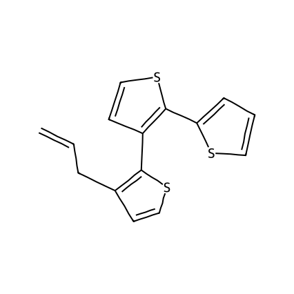 C=CCc1ccsc1-c1ccsc1-c1cccs1